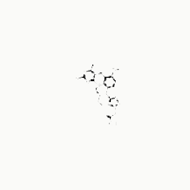 CCCCNc1nc(N)nc(C)c1Cc1cc(Cc2nnn(CC(=O)O)n2)ccc1OC